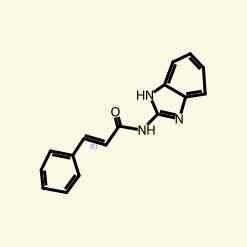 O=C(/C=C/c1ccccc1)Nc1nc2ccccc2[nH]1